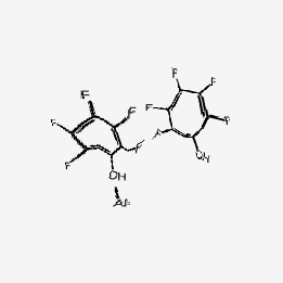 Oc1c(F)c(F)c(F)c(F)c1F.Oc1c(F)c(F)c(F)c(F)c1F.[CH3][Al]